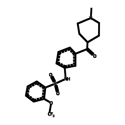 CN1CCC(C(=O)c2cccc(NS(=O)(=O)c3ccccc3OC(F)(F)F)c2)CC1